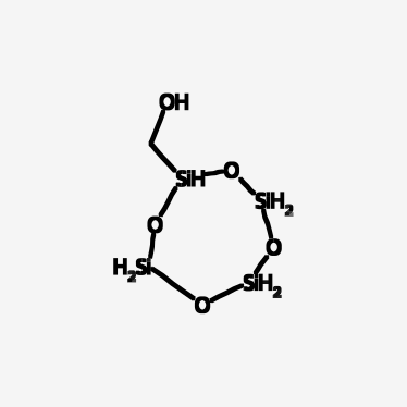 OC[SiH]1O[SiH2]O[SiH2]O[SiH2]O1